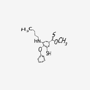 CCCCNc1cc(C(=S)OC)cc(S)c1Oc1ccccc1